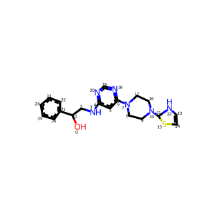 OC(CNc1cc(N2CCN(C3NC=CS3)CC2)ncn1)c1ccccc1